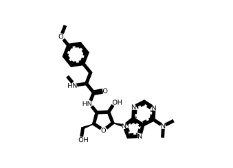 CNC(Cc1ccc(OC)cc1)C(=O)NC1C(O)[C@@H](n2cnc3c(N(C)C)ncnc32)O[C@H]1CO